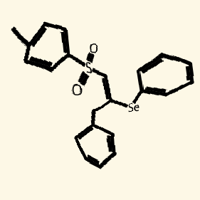 Cc1ccc(S(=O)(=O)C=C(Cc2ccccc2)[Se]c2ccccc2)cc1